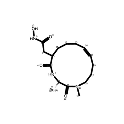 CC[C@@H](C)C1NC(=O)C(CC(=O)NO)CCCC=CCCCN(C)C1=O